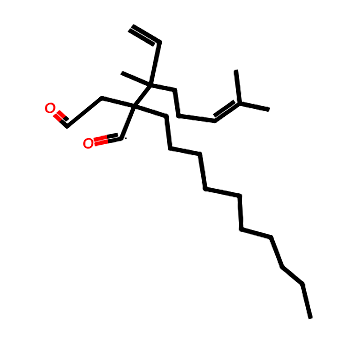 C=CC(C)(CCC=C(C)C)C([C]=O)(CC=O)CCCCCCCCCC